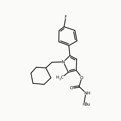 CCCCNC(=O)Oc1cc(-c2ccc(F)cc2)n(CC2CCCCC2)c1C